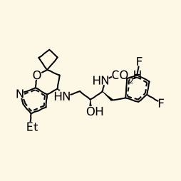 CCc1cnc2c(c1)[C@@H](NC[C@H](O)[C@H](Cc1cc(F)cc(F)c1)NC(=O)O)CC1(CCC1)O2